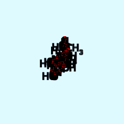 COc1cc(N=Nc2ccc(N=Nc3ccccc3)cc2S(=O)(=O)O)c(C)cc1Cc1nc(Cc2ccc(N=Nc3ccc(N=Nc4ccc(S(=O)(=O)O)cc4)cc3)c(C)c2)nc(Nc2cccc(Nc3nc(Nc4ccc(N=Nc5ccc(N=Nc6ccccc6)cc5S(=O)(=O)O)c(C)c4)nc(Nc4cc(C)c(N=Nc5ccc(N=Nc6ccc(S(=O)(=O)O)cc6)cc5)cc4CO)n3)c2)n1